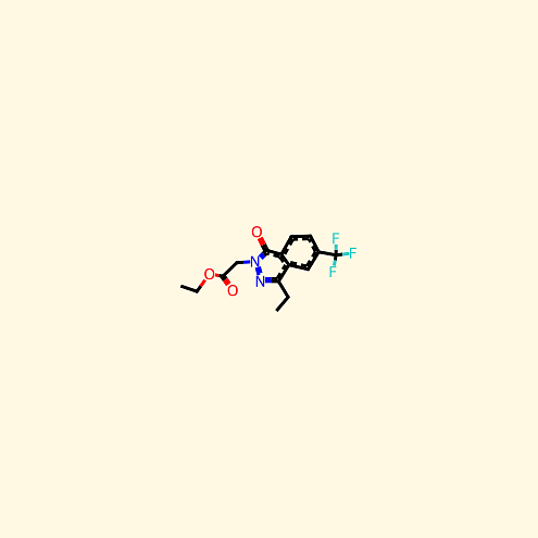 CCOC(=O)Cn1nc(CC)c2cc(C(F)(F)F)ccc2c1=O